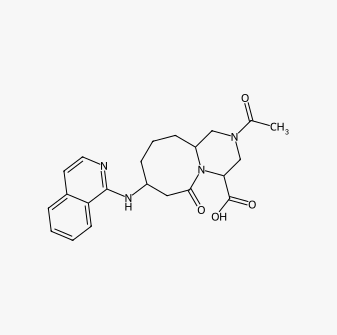 CC(=O)N1CC2CCCC(Nc3nccc4ccccc34)CC(=O)N2C(C(=O)O)C1